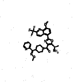 CO/N=C(/c1ccccn1)C1CCN(C(=O)c2nc(-c3ccc(OC)c4nc(C(F)(F)F)ccc34)oc2[C@@H](C)N)CC1